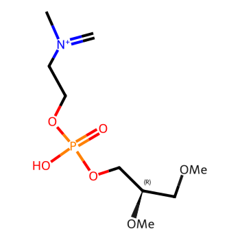 C=[N+](C)CCOP(=O)(O)OC[C@@H](COC)OC